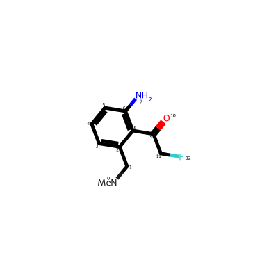 CNCc1cccc(N)c1C(=O)CF